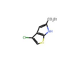 CCOC(=O)c1cc2c(Cl)csc2[nH]1